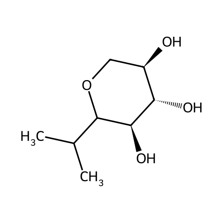 CC(C)C1OC[C@@H](O)[C@H](O)[C@H]1O